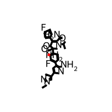 CCn1cc(-c2cnc(N)c(-c3ccc(C4(C(N)=O)CN(C(C)C)C(C(N)=O)=C(c5ccc(F)cc5)C4=O)cc3F)c2)cn1